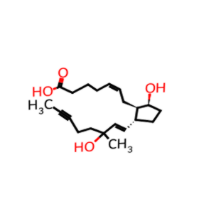 CC#CCCC(C)(O)/C=C/[C@H]1CC[C@H](O)[C@@H]1C/C=C\CCCC(=O)O